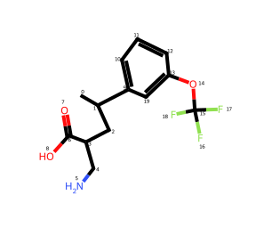 CC(CC(CN)C(=O)O)c1cccc(OC(F)(F)F)c1